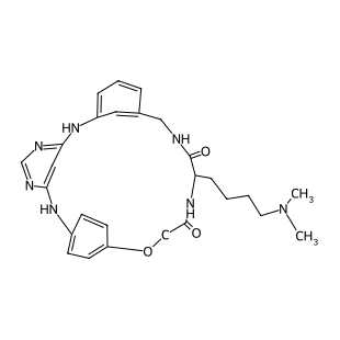 CN(C)CCCCC1NC(=O)COc2ccc(cc2)Nc2cc(ncn2)Nc2cccc(c2)CNC1=O